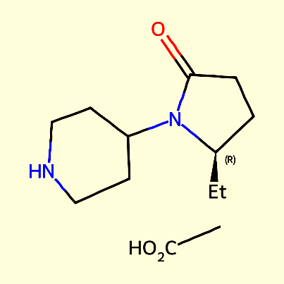 CC(=O)O.CC[C@@H]1CCC(=O)N1C1CCNCC1